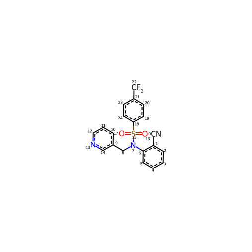 N#Cc1ccccc1N(Cc1cccnc1)S(=O)(=O)c1ccc(C(F)(F)F)cc1